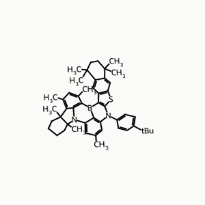 Cc1cc2c3c(c1)N1c4c(c(C)cc(C)c4C4(C)CCCCC14C)B3c1c(sc3cc4c(cc13)C(C)(C)CCC4(C)C)N2c1ccc(C(C)(C)C)cc1